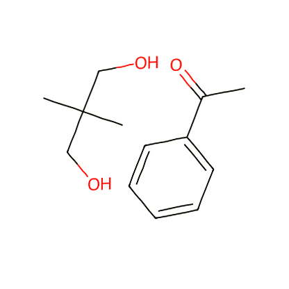 CC(=O)c1ccccc1.CC(C)(CO)CO